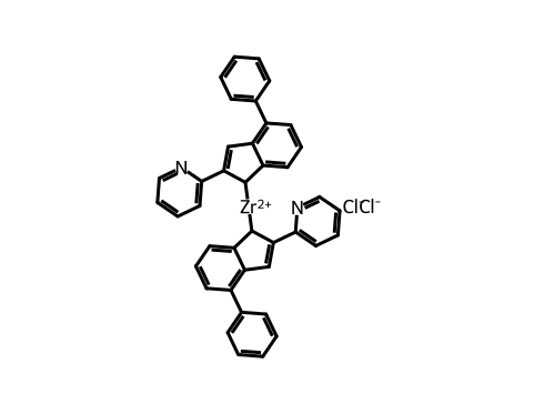 C1=C(c2ccccn2)[CH]([Zr+2][CH]2C(c3ccccn3)=Cc3c(-c4ccccc4)cccc32)c2cccc(-c3ccccc3)c21.[Cl-].[Cl-]